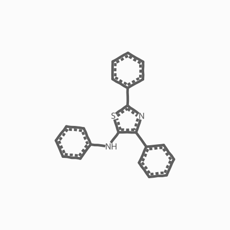 c1ccc(Nc2sc(-c3ccccc3)nc2-c2ccccc2)cc1